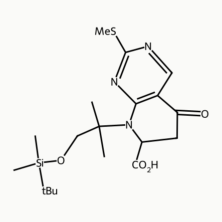 CSc1ncc2c(n1)N(C(C)(C)CO[Si](C)(C)C(C)(C)C)C(C(=O)O)CC2=O